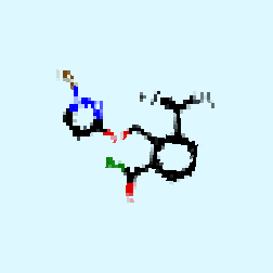 C=C(C)c1cccc(C(=O)Br)c1COc1ccn(S)n1